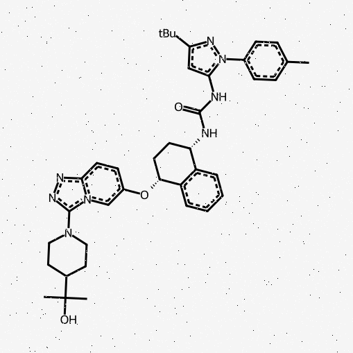 Cc1ccc(-n2nc(C(C)(C)C)cc2NC(=O)N[C@H]2CC[C@@H](Oc3ccc4nnc(N5CCC(C(C)(C)O)CC5)n4c3)c3ccccc32)cc1